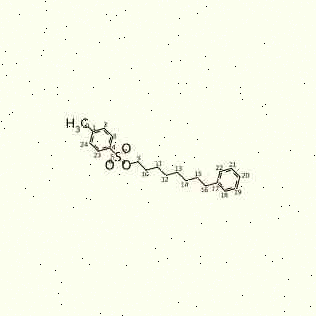 Cc1ccc(S(=O)(=O)OCCCCCCCCc2ccccc2)cc1